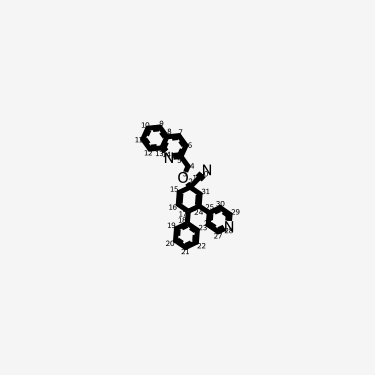 N#CC1(OCc2ccc3ccccc3n2)C=CC(c2ccccc2)C(c2ccncc2)=C1